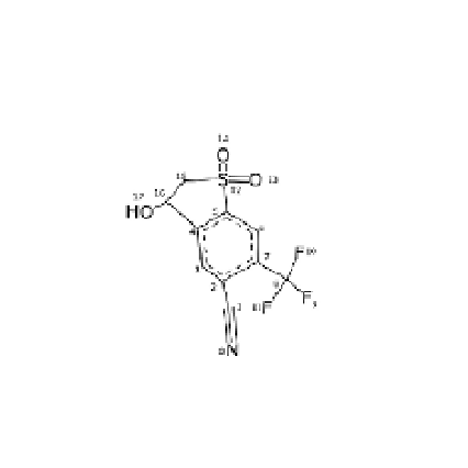 N#Cc1cc2c(cc1C(F)(F)F)S(=O)(=O)CC2O